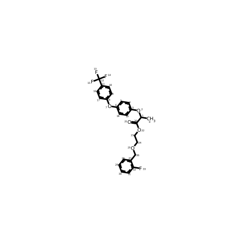 CC(Oc1ccc(Oc2ccc(C(F)(F)F)cc2)cc1)C(=O)OCCOCc1ccccc1F